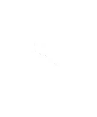 CCCC(CC)CC1(CN2CCN(CC3(F)CCN(C)CC3)CC2)CC1